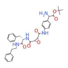 CC(C)(C)OC(=O)C(N)c1ccc(NC(=O)C2OC2C(=O)N[C@@H](Cc2ccccc2)C(=O)NCCc2ccccc2)cc1